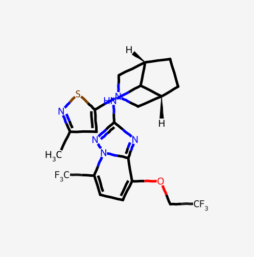 Cc1cc(N2C[C@H]3CC[C@@H](C2)C3Nc2nc3c(OCC(F)(F)F)ccc(C(F)(F)F)n3n2)sn1